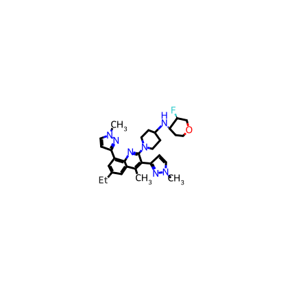 CCc1cc(-c2ccn(C)n2)c2nc(N3CCC(N[C@H]4CCOC[C@@H]4F)CC3)c(-c3ccn(C)n3)c(C)c2c1